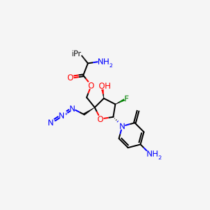 C=C1C=C(N)C=CN1[C@@H]1O[C@](CN=[N+]=[N-])(COC(=O)C(N)C(C)C)[C@@H](O)[C@H]1F